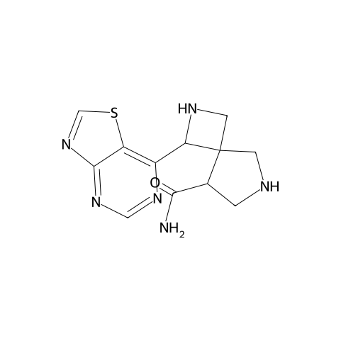 NC(=O)C1CNCC12CNC2c1ncnc2ncsc12